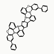 c1ccc(-c2ccc3c(c2)B2c4c(cccc4-n4c5cc6c(cc5c5cccc2c54)c2cccc4c2n6-c2cccc5c2B4c2cc(-c4ccccc4)ccc2O5)O3)cc1